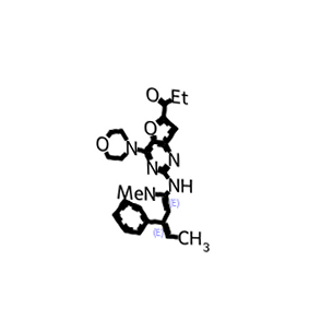 C/C=C(\C=C(/NC)Nc1nc(N2CCOCC2)c2oc(C(=O)CC)cc2n1)c1ccccc1